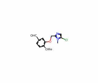 COc1ccc(C=O)cc1OCc1ncc(Cl)n1C